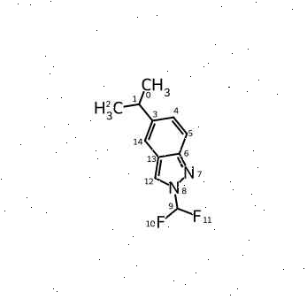 CC(C)c1ccc2nn(C(F)F)cc2c1